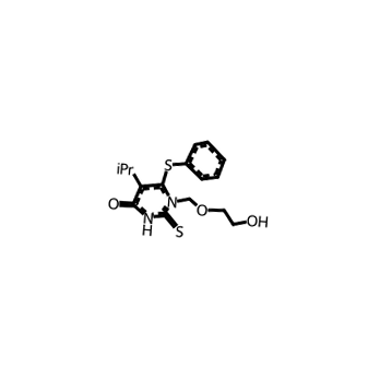 CC(C)c1c(Sc2ccccc2)n(COCCO)c(=S)[nH]c1=O